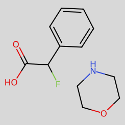 C1COCCN1.O=C(O)C(F)c1ccccc1